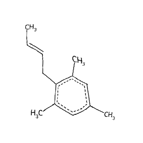 CC=CCc1c(C)cc(C)cc1C